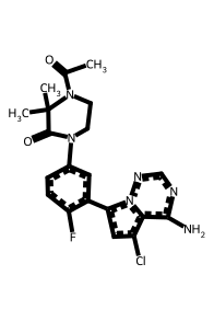 CC(=O)N1CCN(c2ccc(F)c(-c3cc(Cl)c4c(N)ncnn34)c2)C(=O)C1(C)C